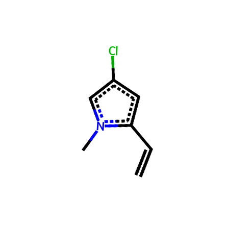 C=Cc1cc(Cl)cn1C